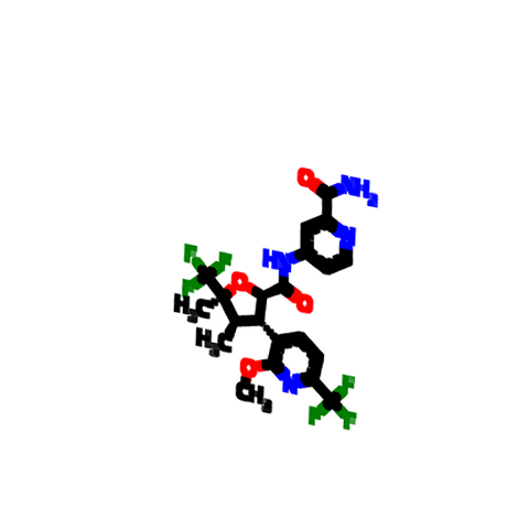 COc1nc(C(F)(F)F)ccc1[C@@H]1[C@@H](C)[C@@](C)(C(F)(F)F)O[C@H]1C(=O)Nc1ccnc(C(N)=O)c1